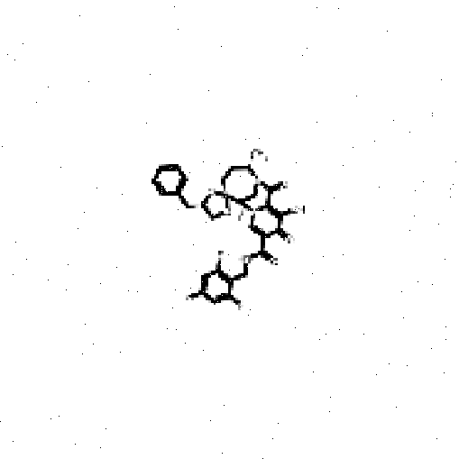 C[C@H]1CC[C@]2(OC[C@@H](Cc3ccccc3)O2)[C@H]2CN1C(=O)c1c(O)c(=O)c(C(=O)NCc3c(F)cc(F)cc3F)cn12